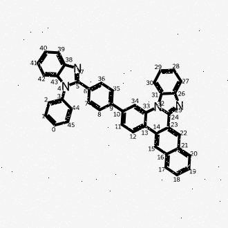 c1ccc(-n2c(-c3ccc(-c4ccc5c6cc7ccccc7cc6c6nc7ccccc7n6c5c4)cc3)nc3ccccc32)cc1